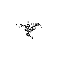 C=CC(O)N1CCn2nc(-c3nc(-c4cncc(C#N)c4)c4ccsc4c3-c3ccc(F)cc3OCCOC)cc2C1